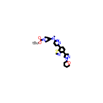 CN(c1ccc(-c2ccc(-c3cnn(C4CCCCO4)c3)c3ncsc23)nn1)C1C2CN(C(=O)OC(C)(C)C)CC21